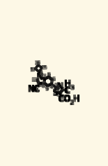 Cc1nc(-c2ccc3c(c2)c(C#N)cn3C2CCC2)sc1C(=O)O